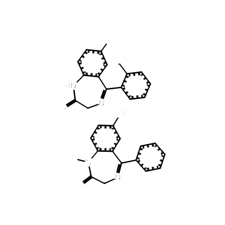 CN1C(=O)CN=C(c2ccccc2)c2cc(Cl)ccc21.O=C1CN=C(c2ccccc2Cl)c2cc(Cl)ccc2N1